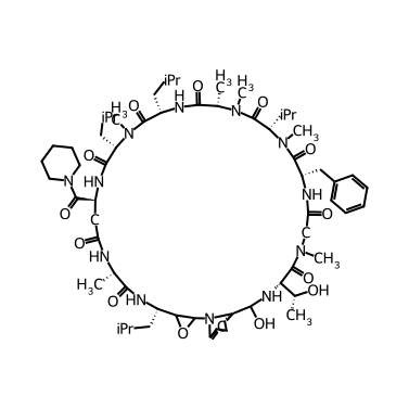 CC(C)C[C@@H]1NC(=O)[C@H](C)N(C)C(=O)[C@H](C(C)C)N(C)C(=O)[C@H](Cc2ccccc2)NC(=O)CN(C)C(=O)[C@H]([C@@H](C)O)NC(O)[C@@]23CCC=C(C2)N3C2OC2[C@H](CC(C)C)NC(=O)[C@H](C)NC(=O)C[C@@H](C(=O)N2CCCCC2)NC(=O)[C@H](CC(C)C)N(C)C1=O